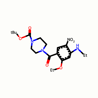 CCNc1cc(OCC)c(C(=O)N2CCN(C(=O)OC(C)(C)C)CC2)cc1[N+](=O)[O-]